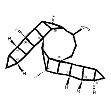 NC1CC[C@]23C4C([C@@H]4C2[C@@H]2C3C3C4C[C@H]4[C@@H]32)[C@@]23C4C5[C@@H]6CC6[C@@H]5[C@H]4C2C2C1[C@H]23